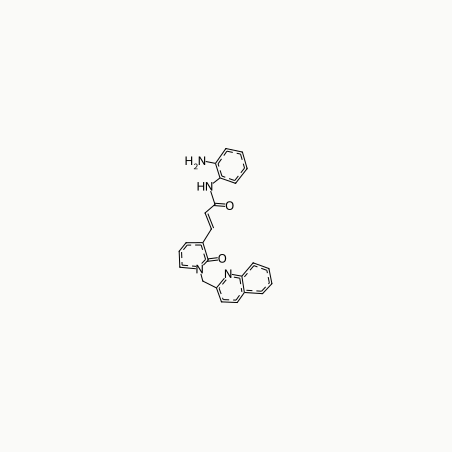 Nc1ccccc1NC(=O)/C=C/c1cccn(Cc2ccc3ccccc3n2)c1=O